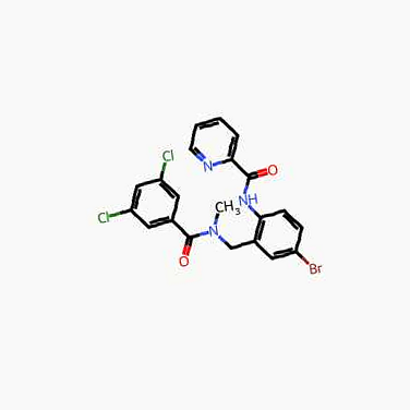 CN(Cc1cc(Br)ccc1NC(=O)c1ccccn1)C(=O)c1cc(Cl)cc(Cl)c1